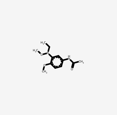 CCN(OC)c1cc(NC(C)=O)ccc1OC